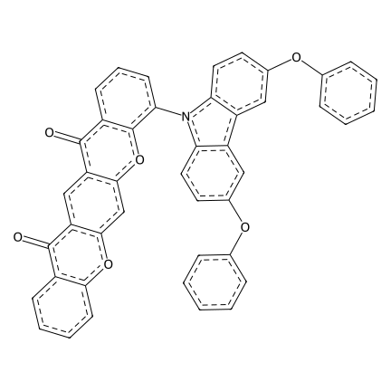 O=c1c2ccccc2oc2cc3oc4c(-n5c6ccc(Oc7ccccc7)cc6c6cc(Oc7ccccc7)ccc65)cccc4c(=O)c3cc12